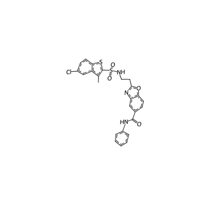 Cc1c(S(=O)(=O)NCCc2nc3cc(C(=O)Nc4ccccc4)ccc3o2)sc2ccc(Cl)cc12